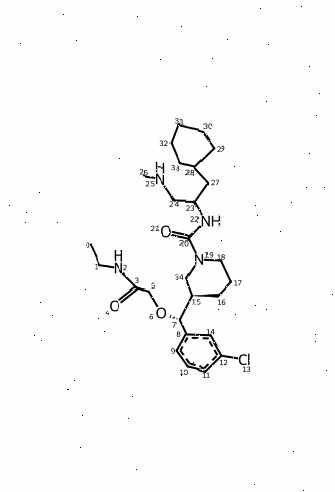 CCNC(=O)CO[C@@H](c1cccc(Cl)c1)[C@@H]1CCCN(C(=O)NC(CNC)CC2CCCCC2)C1